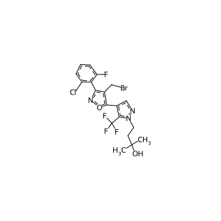 CC(C)(O)CCn1ncc(-c2onc(-c3c(F)cccc3Cl)c2CBr)c1C(F)(F)F